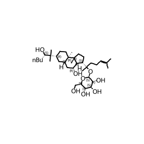 CCCC[C@H](O)C(C)(C)[C@@H]1CC[C@]2(C)[C@@H](C1)C[C@@H](O)[C@@H]1[C@@H](C(C)(CCC=C(C)C)O[C@@H]3O[C@H](CO)[C@@H](O)[C@H](O)[C@H]3O)CC[C@]12C